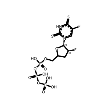 O=P(O)(O)OP(=O)(O)OP(=O)(O)OCC1C[C@H](F)[C@H](n2cc(F)c(=S)[nH]c2=S)O1